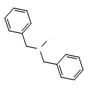 [SiH3][Ti]([CH2]c1ccccc1)[CH2]c1ccccc1